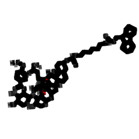 COc1ccc(C(=O)OC2C(OC3C(O)COC(OC4C[C@H]5C6CC=C7CC(OC(=O)NCCCCCCNC(=O)OCC8c9ccccc9-c9ccccc98)CCC7(C)C6CCC5(C)[C@@]4(O)[C@H](C)C(=O)CCC(C)C)C3OC(C)=O)OCC(O)C2O)cc1